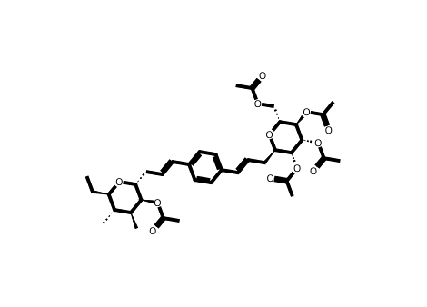 CC[C@H]1O[C@H](C/C=C/c2ccc(/C=C/C[C@H]3O[C@H](COC(C)=O)[C@@H](OC(C)=O)[C@H](OC(C)=O)[C@@H]3OC(C)=O)cc2)[C@@H](OC(C)=O)[C@@H](C)[C@@H]1C